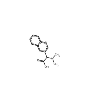 CN(C)C(C(=O)O)c1cnc2ccccc2c1